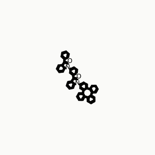 C1=CC2c3c(oc4ccccc34)N(c3ccc4oc5c(c4c3)c3ccccc3n5-c3ccc4c(c3)-c3ccccc3-c3ccccc3C3=C4CCC=C3)C2C=C1